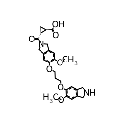 COc1cc2c(cc1OCCCOc1cc3c(cc1OC)CN(C(=O)[C@@H]1C[C@H]1C(=O)O)C3)CNC2